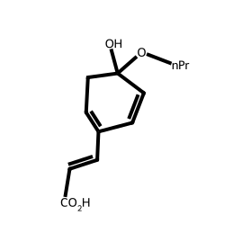 CCCOC1(O)C=CC(C=CC(=O)O)=CC1